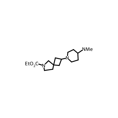 CCOC(=O)N1CCC2(CC(N3CCC(NC)CC3)C2)C1